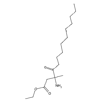 CCCCCCCCCCC(=O)C(C)(N)CC(=O)OCC